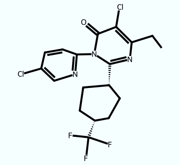 CCc1nc([C@H]2CC[C@@H](C(F)(F)F)CC2)n(-c2ccc(Cl)cn2)c(=O)c1Cl